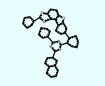 c1ccc(-c2nc(-c3ccc4ccccc4c3)nc(-c3ccccc3-c3ccc4c(c3)oc3ccc5oc(-c6ccccc6)nc5c34)n2)cc1